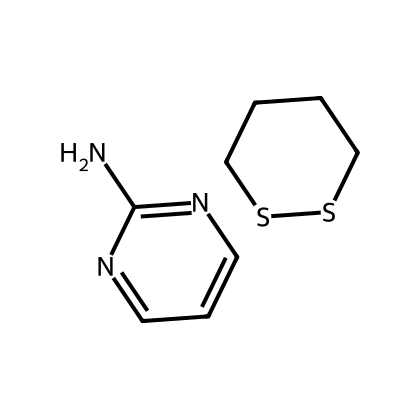 C1CCSSC1.Nc1ncccn1